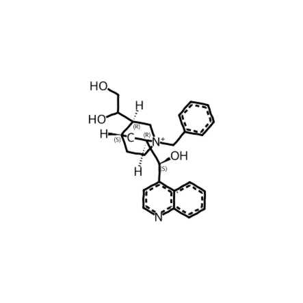 OCC(O)[C@H]1C[N+]2(Cc3ccccc3)CC[C@H]1C[C@@H]2[C@@H](O)c1ccnc2ccccc12